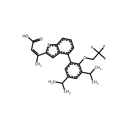 C/C(=C/C(=O)O)c1cc2c(-c3cc(C(C)C)cc(C(C)C)c3OCC(F)(F)F)cccc2s1